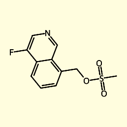 CS(=O)(=O)OCc1cccc2c(F)cncc12